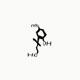 CCCCc1ccc(O)c(C(C)(C)CCO)c1